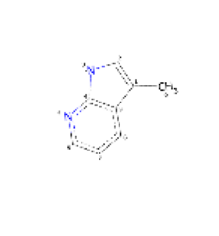 CC1=C[N]c2ncccc21